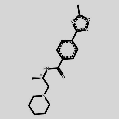 Cc1nc(-c2ccc(C(=O)N[C@H](C)CN3CCCCC3)cc2)no1